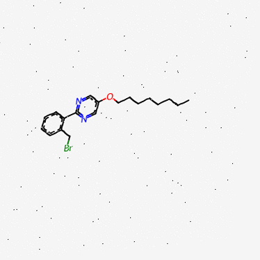 CCCCCCCCOc1cnc(-c2ccccc2CBr)nc1